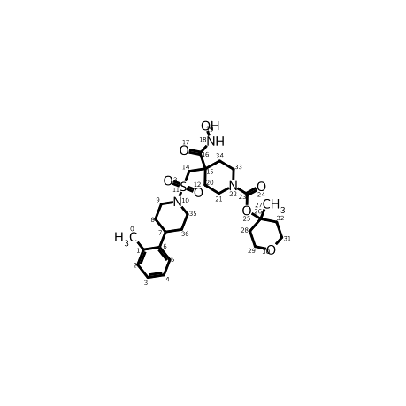 Cc1ccccc1C1CCN(S(=O)(=O)CC2(C(=O)NO)CCN(C(=O)OC3(C)CCOCC3)CC2)CC1